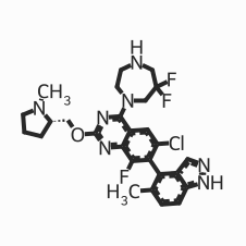 Cc1ccc2[nH]ncc2c1-c1c(Cl)cc2c(N3CCNCC(F)(F)C3)nc(OC[C@@H]3CCCN3C)nc2c1F